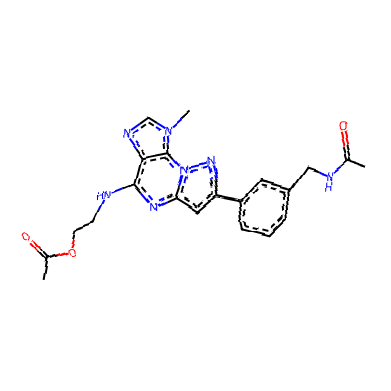 CC(=O)NCc1cccc(-c2cc3nc(NCCOC(C)=O)c4ncn(C)c4n3n2)c1